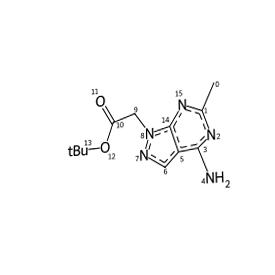 Cc1nc(N)c2cnn(CC(=O)OC(C)(C)C)c2n1